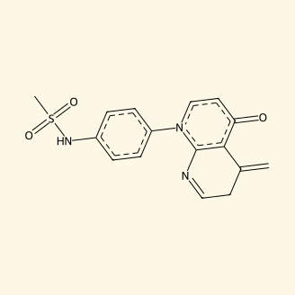 C=C1CC=Nc2c1c(=O)ccn2-c1ccc(NS(C)(=O)=O)cc1